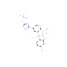 CC(C)c1ccc(C(O)(c2cncc(-c3noc(CC4(N)CC4)n3)c2)C2(C)CN(C)C2)cc1